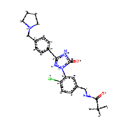 CC(C)(C)C(=O)NCc1ccc(Cl)c(-n2nc(-c3ccc(CN4CCCC4)cc3)[nH]c2=O)c1